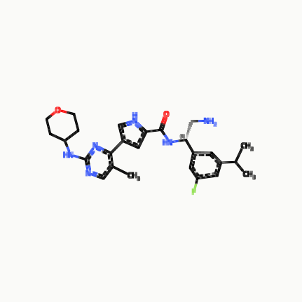 Cc1cnc(NC2CCOCC2)nc1-c1c[nH]c(C(=O)N[C@H](CN)c2cc(F)cc(C(C)C)c2)c1